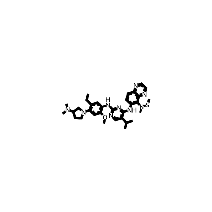 CCc1cc(Nc2ncc(C(C)C)c(Nc3ccc4nccnc4c3N(C)SC)n2)c(OC)cc1N1CCC(N(C)C)C1